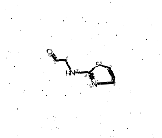 O=[C]CNc1nccs1